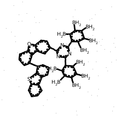 Bc1c(B)c(B)c(-c2nc(-c3ccc4oc5cccc(-c6cccc7c6sc6ccccc67)c5c4c3)nc(-c3c(B)c(B)c(B)c(B)c3B)n2)c(B)c1B